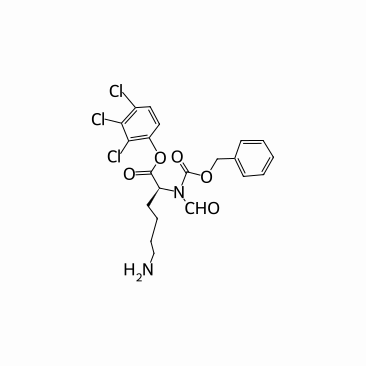 NCCCC[C@@H](C(=O)Oc1ccc(Cl)c(Cl)c1Cl)N(C=O)C(=O)OCc1ccccc1